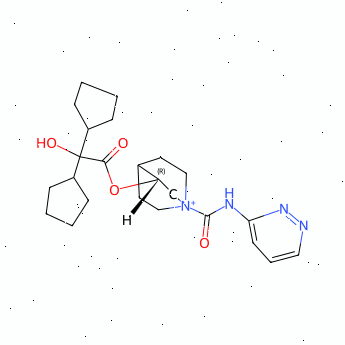 O=C(O[C@H]1C[N+]2(C(=O)Nc3cccnn3)CCC1CC2)C(O)(C1CCCC1)C1CCCC1